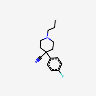 [CH2]CCN1CCC(C#N)(c2ccc(F)cc2)CC1